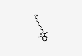 CC(OC=[SH]CCCCCCO)c1ccccc1[N+](=O)[O-]